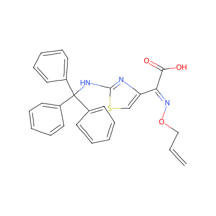 C=CCO/N=C(/C(=O)O)c1csc(NC(c2ccccc2)(c2ccccc2)c2ccccc2)n1